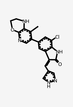 Cc1c(-c2cc(Cl)c3c(c2)C(=Cc2cn[nH]c2)C(=O)N3)cnc2c1NCCO2